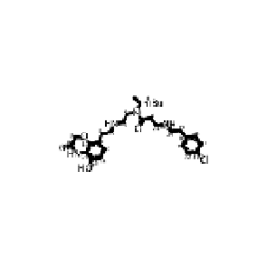 CCCC[C@@H](C)N(CCNCCc1ccc(O)c2c1OCC(=O)N2)C(=O)CCNCCc1ccc(Cl)cc1